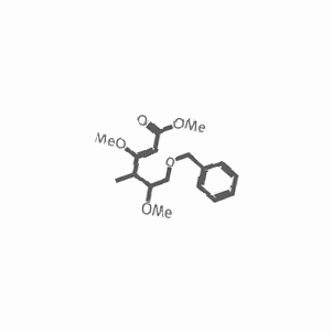 COC(=O)C=C(OC)C(C)C(COCc1ccccc1)OC